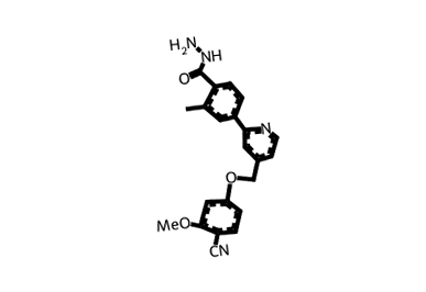 COc1cc(OCc2ccnc(-c3ccc(C(=O)NN)c(C)c3)c2)ccc1C#N